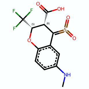 CNc1ccc2c(c1)C(=S(=O)=O)[C@@H](C(=O)O)[C@@H](C(F)(F)F)O2